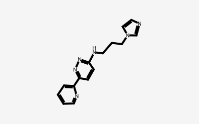 c1ccc(-c2ccc(NCCCn3ccnc3)nn2)nc1